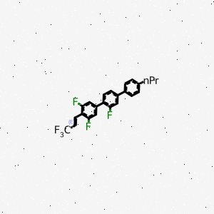 CCCc1ccc(-c2ccc(-c3cc(F)c(/C=C/C(F)(F)F)c(F)c3)c(F)c2)cc1